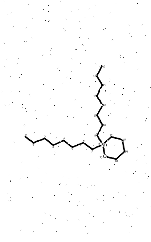 CCCCCCC[CH2][Sn]1([CH2]CCCCCCC)[CH2]CCC[O]1